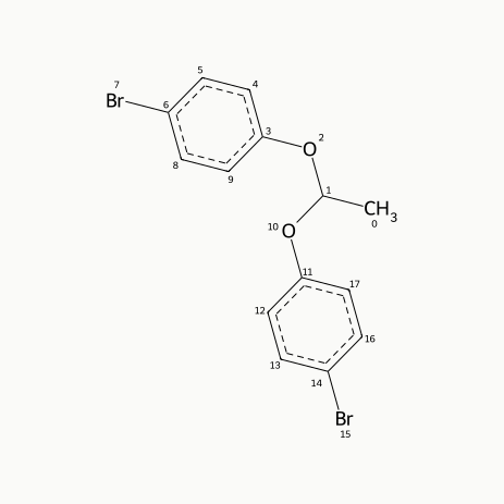 CC(Oc1ccc(Br)cc1)Oc1ccc(Br)cc1